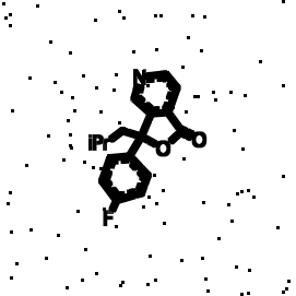 CC(C)CC1(c2ccc(F)cc2)OC(=O)c2ccncc21